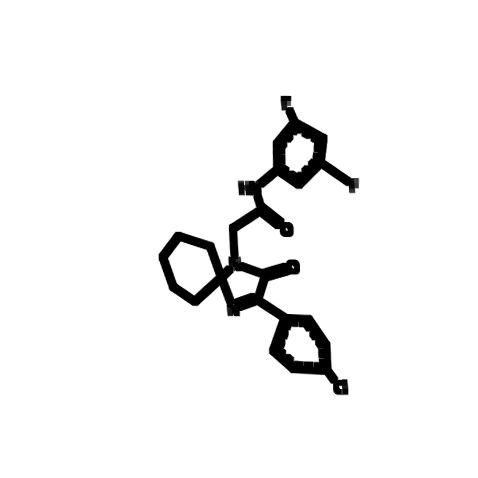 O=C(CN1C(=O)C(c2ccc(Cl)cc2)=NC12CCCCC2)Nc1cc(F)cc(F)c1